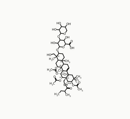 CCC(C)C(=O)O[C@H]1[C@H](OC(C)=O)C(C)(C)CC2C3=CCC4[C@@]5(C)CCC(OC6OC(C(=O)O)C(O)C(OC7OCC(O)C(O)C7O)C6O)[C@@](C)(CO)C5CC[C@@]4(C)[C@]3(C)[C@@H](OC(C)=O)[C@@H](OC(C)=O)[C@]21CO